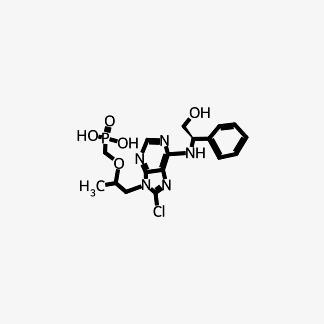 CC(Cn1c(Cl)nc2c(N[C@@H](CO)c3ccccc3)ncnc21)OCP(=O)(O)O